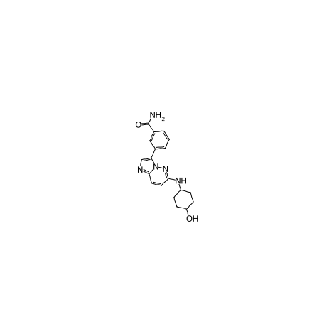 NC(=O)c1cccc(-c2cnc3ccc(NC4CCC(O)CC4)nn23)c1